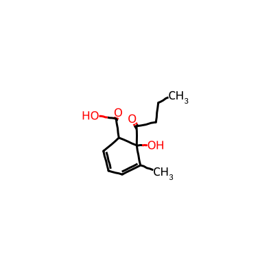 CCCC(=O)C1(O)C(C)=CC=CC1C(=O)O